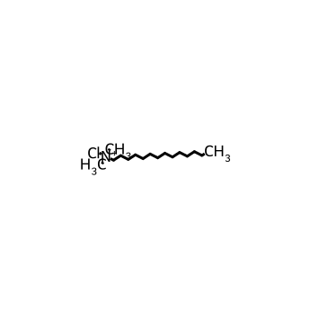 CCCCCCCCCCCCCC[N+](C)(C)Cl